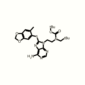 Cc1cc2c(cc1Sc1nc3c(N)ncnc3n1CCN(CC(C)(C)C)C(=O)OC(C)(C)C)OCO2